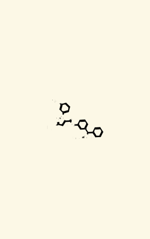 CCCCNC(c1ccccc1)c1cccc(NC(=O)c2cc(C(F)(F)F)nn2-c2cccc(C#N)c2)c1